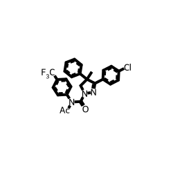 CC(=O)N(C(=O)N1CC(C)(c2ccccc2)C(c2ccc(Cl)cc2)=N1)c1ccc(C(F)(F)F)cc1